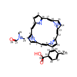 C1=Cc2cc3ccc(cc4nc(cc5ccc(cc1n2)[nH]5)C=C4)[nH]3.CN(C)C=O.O=C(O)c1cc[c]([Zn])cc1